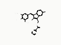 COc1cc(C=C2C(C)=C(CNC(=O)c3ncco3)c3cc(F)ccc32)cc(OC)c1O